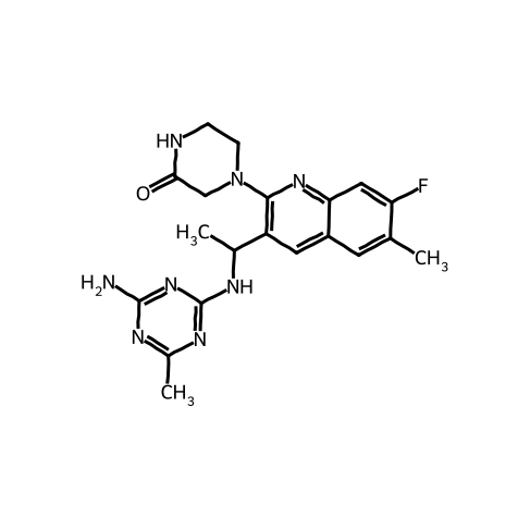 Cc1nc(N)nc(NC(C)c2cc3cc(C)c(F)cc3nc2N2CCNC(=O)C2)n1